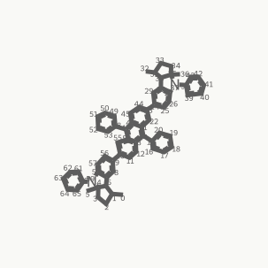 CC1CCC2(C)C1c1cc(-c3ccc4c(-c5ccccc5)c5cc(-c6ccc7c(c6)C6C(C)CCC6(C)N7c6ccccc6)ccc5c(-c5ccccc5)c4c3)ccc1N2c1ccccc1